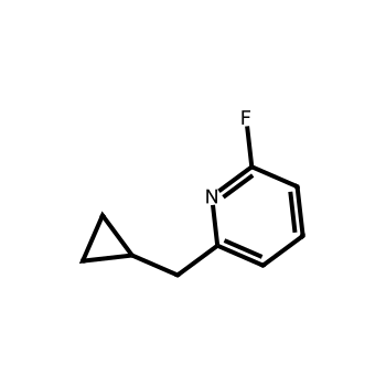 Fc1cccc(CC2CC2)n1